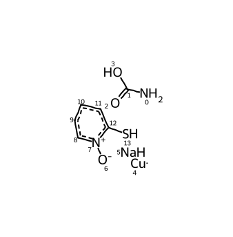 NC(=O)O.[Cu].[NaH].[O-][n+]1ccccc1S